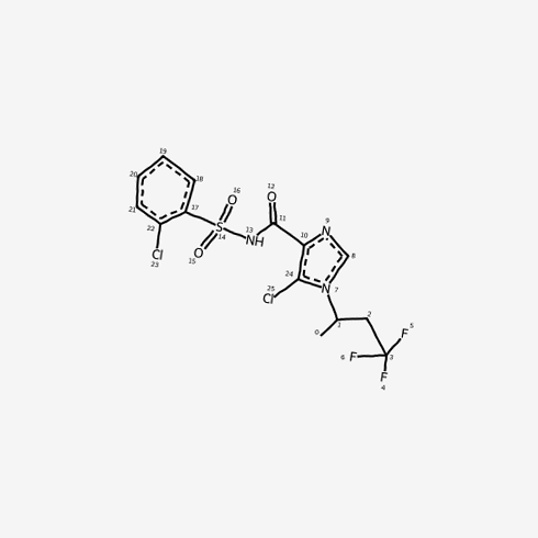 CC(CC(F)(F)F)n1cnc(C(=O)NS(=O)(=O)c2ccccc2Cl)c1Cl